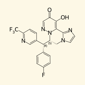 O=c1cnn2c(c1O)-c1nccn1C[C@@H]2[C@H](c1ccc(F)cc1)c1ccc(C(F)(F)F)nc1